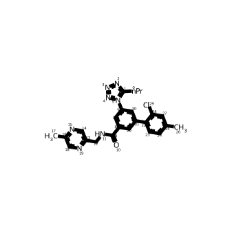 CCCc1nnnn1-c1cc(C(=O)NCc2cnc(C)cn2)cc(-c2ccc(C)cc2Cl)c1